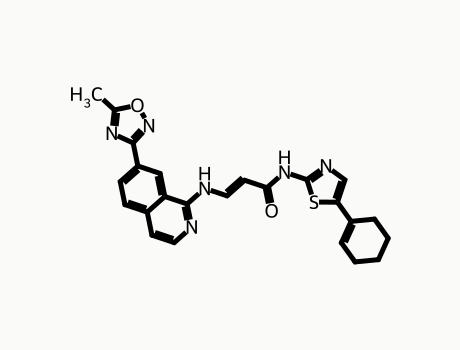 Cc1nc(-c2ccc3ccnc(NC=CC(=O)Nc4ncc(C5=CCCCC5)s4)c3c2)no1